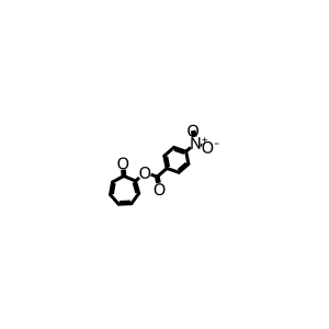 O=C(Oc1cccccc1=O)c1ccc([N+](=O)[O-])cc1